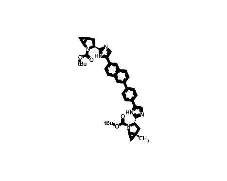 CC(C)(C)OC(=O)N1C2CC2C[C@H]1c1ncc(-c2ccc3cc(-c4ccc(-c5cnc([C@@H]6C[C@]7(C)CC7N6C(=O)OC(C)(C)C)[nH]5)cc4)ccc3c2)[nH]1